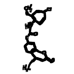 COc1cc(Cl)ccc1NC(=O)Oc1ccc2c(C)cc(=O)oc2c1